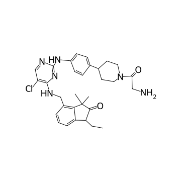 CCC1C(=O)C(C)(C)c2c(CNc3nc(Nc4ccc(C5CCN(C(=O)CN)CC5)cc4)ncc3Cl)cccc21